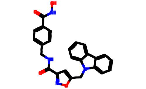 O=C(NO)c1ccc(CNC(=O)c2cc(Cn3c4ccccc4c4ccccc43)on2)cc1